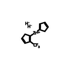 FC(F)(F)C1=[C]([Zr+2][C]2=CC=CC2)CC=C1.[H-].[H-]